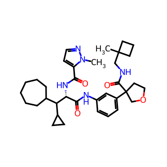 Cn1nccc1C(=O)N[C@H](C(=O)Nc1cccc(C2(C(=O)NCC3(C)CCC3)CCOC2)c1)C(C1CCCCCC1)C1CC1